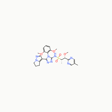 COc1cccc(OC)c1-n1c(NS(=O)(=O)[C@@H](C)[C@H](OC)c2ncc(C)cn2)nnc1-c1cnn2c1CCC2